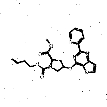 CCCCOC(=O)N1CC(Oc2nc(-c3ccccn3)nc3ccsc23)CC1C(=O)OC